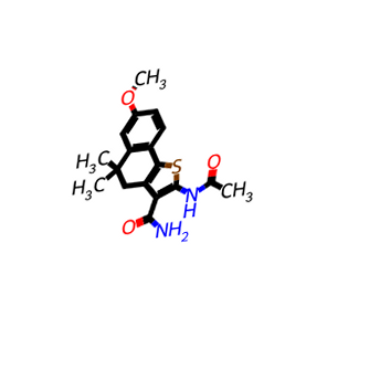 COc1ccc2c(c1)C(C)(C)Cc1c-2sc(NC(C)=O)c1C(N)=O